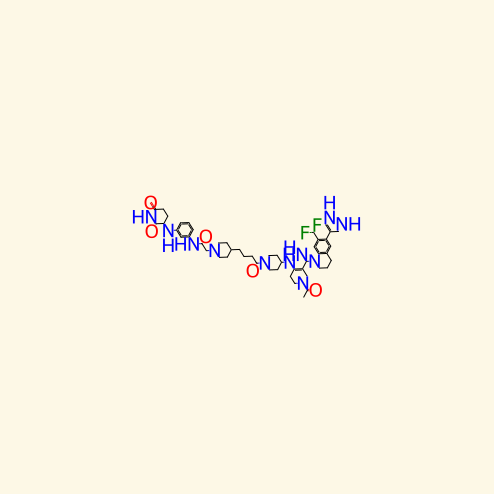 CN/C=C(\C=N)c1cc2c(cc1C(F)F)N(C(=N)C1=C(NC3CCN(C(=O)CCCC4CCN(CC(=O)Nc5cccc(NC6CCC(=O)NC6=O)c5)CC4)CC3)CCN(C(C)=O)C1)CCC2